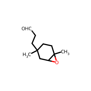 CC1(CCC=O)CCC2(C)OC2C1